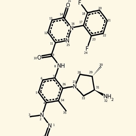 C=NN(C)c1ccc(NC(=O)c2ccc(=O)n(-c3c(F)cccc3F)n2)c(N2C[C@H](C)[C@@H](N)C2)c1C